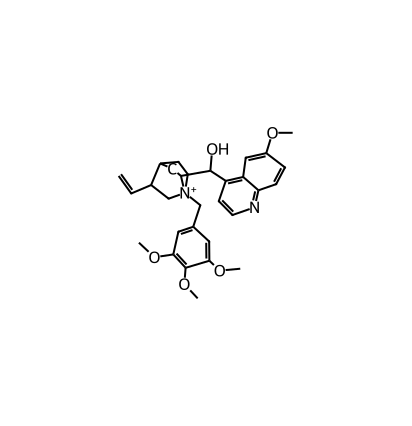 C=CC1C[N+]2(Cc3cc(OC)c(OC)c(OC)c3)CCC1CC2C(O)c1ccnc2ccc(OC)cc12